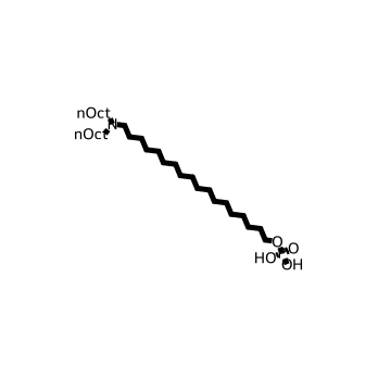 CCCCCCCCN(CCCCCCCC)CCCCCCCCCCCCCCCCCCOP(=O)(O)O